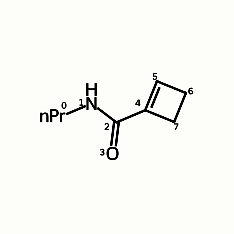 CCCNC(=O)C1=CCC1